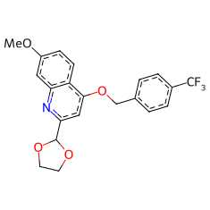 COc1ccc2c(OCc3ccc(C(F)(F)F)cc3)cc(C3OCCO3)nc2c1